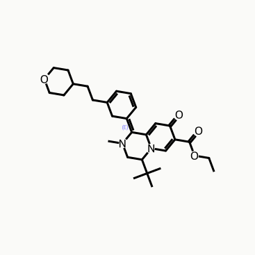 CCOC(=O)c1cn2c(cc1=O)/C(=C1\C=CC=C(CCC3CCOCC3)C1)N(C)CC2C(C)(C)C